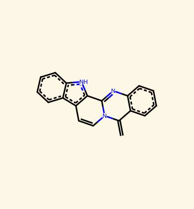 C=C1c2ccccc2N=C2c3[nH]c4ccccc4c3C=CN12